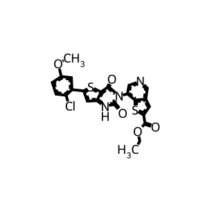 CCOC(=O)c1cc2cncc(-n3c(=O)[nH]c4cc(-c5cc(OC)ccc5Cl)sc4c3=O)c2s1